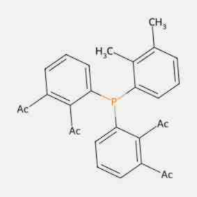 CC(=O)c1cccc(P(c2cccc(C)c2C)c2cccc(C(C)=O)c2C(C)=O)c1C(C)=O